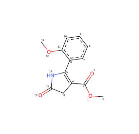 COC(=O)C1=C(c2ccccc2OC)NC(=O)C1